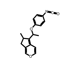 CC1CC2=COC=CC2=C1C(C)Oc1ccc(N=C=O)cc1